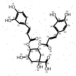 O=C(C=Cc1ccc(O)c(O)c1)O[C@@H]1[C@H](O)C[C@@](O)(C(=O)O)C[C@H]1OC(=O)C=Cc1ccc(O)c(O)c1